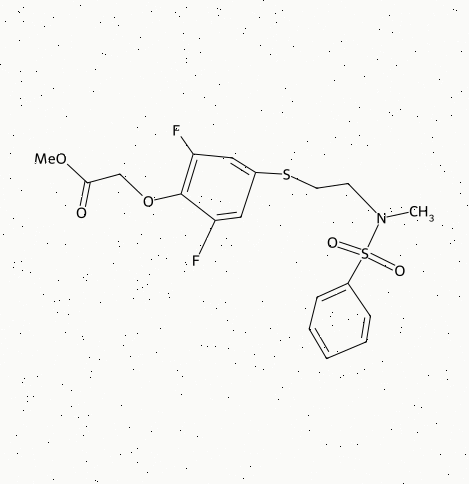 COC(=O)COc1c(F)cc(SCCN(C)S(=O)(=O)c2ccccc2)cc1F